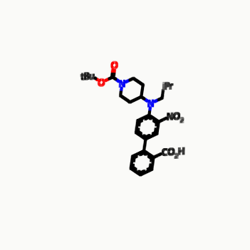 CC(C)CN(c1ccc(-c2ccccc2C(=O)O)cc1[N+](=O)[O-])C1CCN(C(=O)OC(C)(C)C)CC1